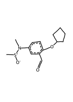 CN(c1ccc(OC2CCCC2)c(C=O)c1)[S+](C)[O-]